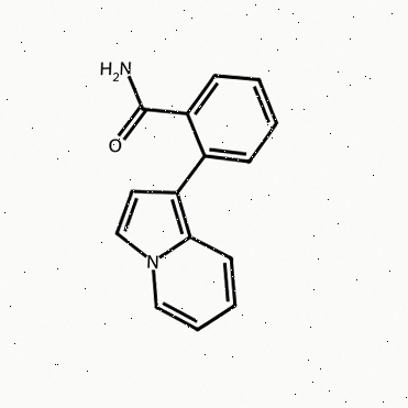 NC(=O)c1ccccc1-c1ccn2ccccc12